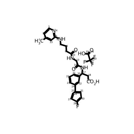 Cc1ccnc(NCCCC(=O)NCC(=O)NC(CC(=O)O)c2cccc(-c3ccc(F)cc3)c2)c1.O=C(O)C(F)(F)F